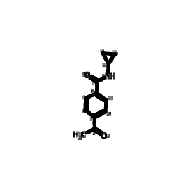 CC(=O)c1ccc(C(=O)NC2CC2)cc1